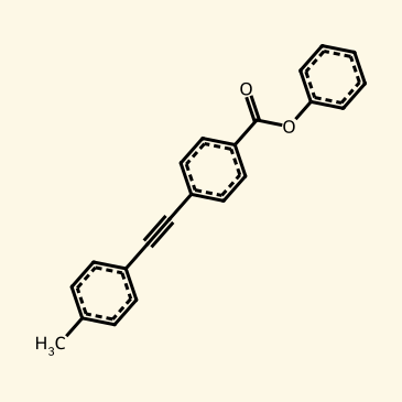 Cc1ccc(C#Cc2ccc(C(=O)Oc3ccccc3)cc2)cc1